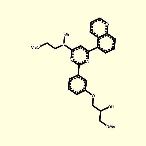 CCCCN(CCOC)c1cc(-c2cccc3ncccc23)nc(-c2cccc(OCC(O)CNC)c2)n1